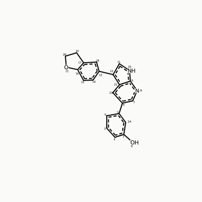 Oc1cccc(-c2cnc3[nH]cc(-c4ccc5c(c4)CCO5)c3c2)c1